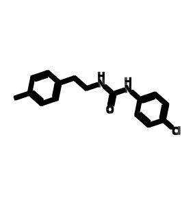 Cc1ccc(CCNC(=O)Nc2ccc(Cl)cc2)cc1